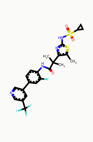 Cc1sc(NS(=O)(=O)C2CC2)nc1C(C)(C)C(=O)Nc1ccc(-c2cncc(C(F)(F)F)c2)cc1F